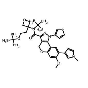 BC(B)(B)OCCC1(N(C(=O)c2nn(-c3ccsc3)c3c2COc2cc(OC)c(-c4ccn(C)c4)cc2-3)C(B)(B)B)COC1